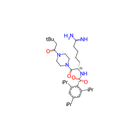 CC(C)c1cc(C(C)C)c(S(=O)(=O)N[C@@H](CCCCC(=N)N)C(=O)N2CCN(C(=O)CC(C)(C)C)CC2)c(C(C)C)c1